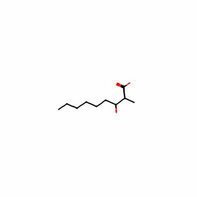 CCCCCCC(O)C(C)C(=O)O